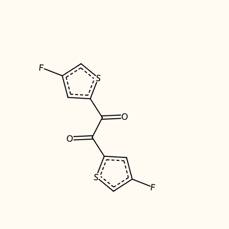 O=C(C(=O)c1cc(F)cs1)c1cc(F)cs1